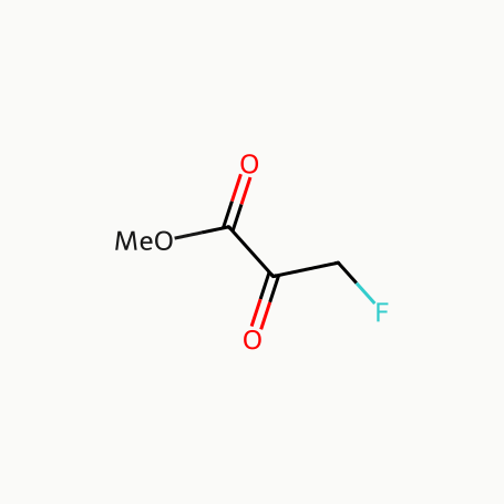 COC(=O)C(=O)CF